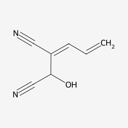 C=CC=C(C#N)C(O)C#N